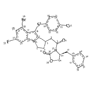 O=C(CC1CCn2c1c(Sc1ccc(Cl)cc1)c1c(Br)cc(F)cc12)N1C(=O)OC[C@@H]1Cc1ccccc1